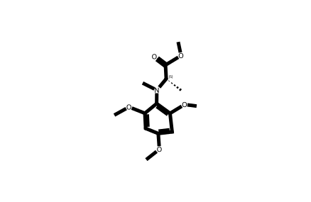 COC(=O)[C@H](C)N(C)c1c(OC)cc(OC)cc1OC